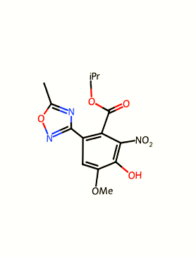 COc1cc(-c2noc(C)n2)c(C(=O)OC(C)C)c([N+](=O)[O-])c1O